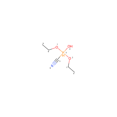 CCO[PH](O)(C#N)OCC